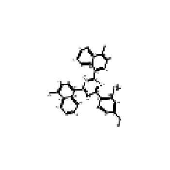 CCc1ccc(-c2nc(-c3ccc(C)c4ccccc34)nc(-c3ccc(C)c4ccccc34)n2)c(O)c1